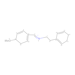 COC1C=CC(/C=N/CCC2=CCCC=C2)=CC1